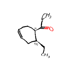 CC[C@H]1CC=CC[C@H]1C(C)=O